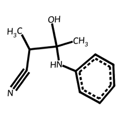 CC(C#N)C(C)(O)Nc1ccccc1